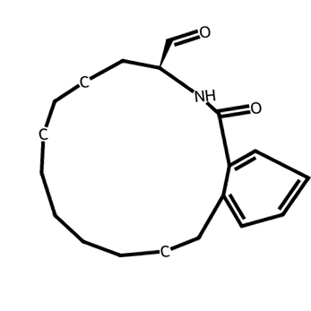 O=C[C@@H]1CCCCCCCCCCc2ccccc2C(=O)N1